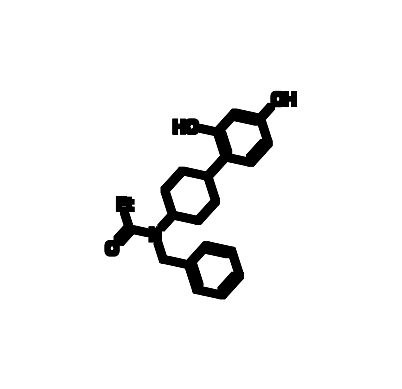 CCC(=O)N(Cc1ccccc1)C1CCC(c2ccc(O)cc2O)CC1